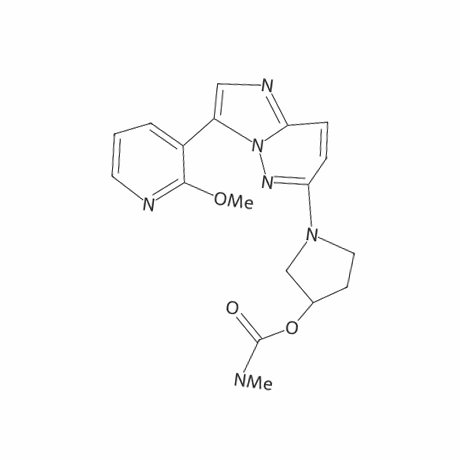 CNC(=O)OC1CCN(c2ccc3ncc(-c4cccnc4OC)n3n2)C1